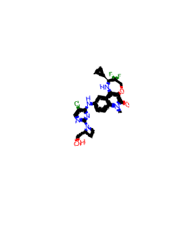 Cn1c(=O)c2c(c3cc(Nc4nc(N5CCC5CO)ncc4Cl)ccc31)N[C@@H](C1CC1)C(F)(F)CO2